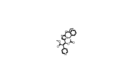 CCCCc1ncc(/C(OC(C)=O)=C(\C(=O)OC)c2ccncc2)n1Cc1ccccc1Cl